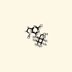 [2H]C1([2H])C([2H])([2H])C(CO)(Nc2nc(Cl)nc3c2[S@+]([O-])CC3)C1([2H])[2H]